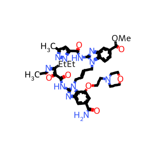 CCc1nc(C)oc1C(=O)Nc1nc2cc(C(N)=O)cc(OCCN3CCOCC3)c2n1C/C=C/Cn1c(NC(=O)c2cc(C)nn2CC)nc2cc(C(=O)OC)ccc21